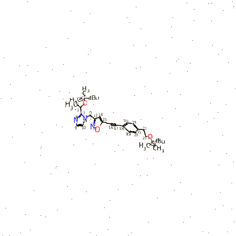 CC(O[Si](C)(C)C(C)(C)C)c1nccn1Cc1cc(C#Cc2ccc(CCO[Si](C)(C)C(C)(C)C)cc2)on1